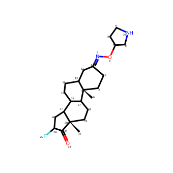 C[C@]12CCC(=NOC3CCNC3)CC1CCC1C2CC[C@]2(C)C(=O)C(F)CC12